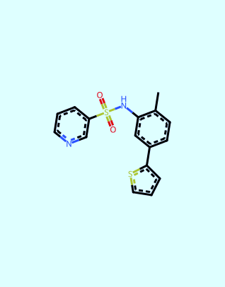 Cc1ccc(-c2cccs2)cc1NS(=O)(=O)c1cccnc1